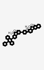 CC1(C)c2ccc(-c3ccc4c(c3)oc3c5c(ccc34)-c3cc4ccccc4cc3C5(C)C)cc2-c2ccc(-c3c4ccccc4c(-c4ccccc4)c4ccccc34)cc21